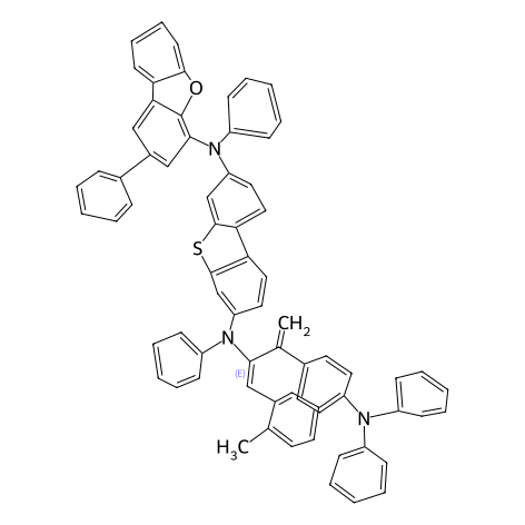 C=C(/C(=C\c1ccccc1C)N(c1ccccc1)c1ccc2c(c1)sc1cc(N(c3ccccc3)c3cc(-c4ccccc4)cc4c3oc3ccccc34)ccc12)c1ccc(N(c2ccccc2)c2ccccc2)cc1